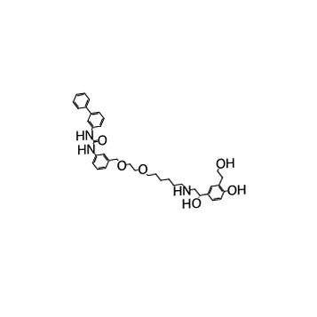 O=C(Nc1cccc(COCCOCCCCCCNC[C@@H](O)c2ccc(O)c(CCO)c2)c1)Nc1cccc(-c2ccccc2)c1